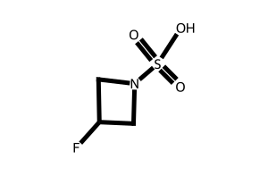 O=S(=O)(O)N1CC(F)C1